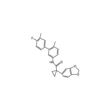 Cc1cc(-c2cc(NC(=O)C3(c4ccc5c(c4)OCO5)CC3)ccc2C)ccc1F